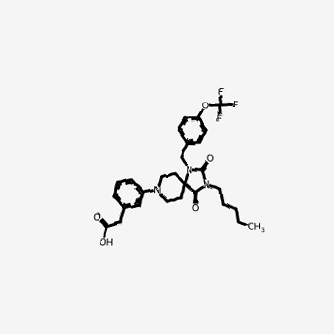 CCCCCN1C(=O)N(Cc2ccc(OC(F)(F)F)cc2)C2(CCN(c3cccc(CC(=O)O)c3)CC2)C1=O